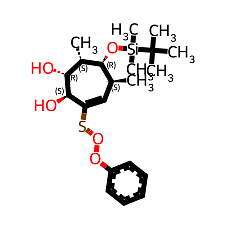 C[C@H]1[C@@H](O)[C@H](O)C(SOOc2ccccc2)=C[C@H](C)[C@H]1O[Si](C)(C)C(C)(C)C